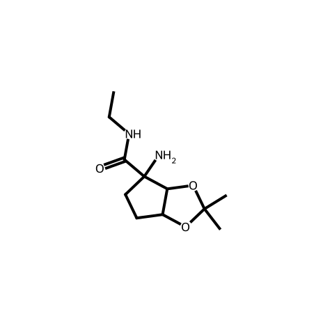 CCNC(=O)C1(N)CCC2OC(C)(C)OC21